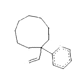 O=CC1(c2ccccn2)CCCCCCCC1